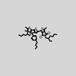 CCCCc1ccc([Si]2(CC(CC)CCCC)c3cc(C)sc3-c3sc(-c4sc(C)c5c4C(=O)N(CC(CC)CCCC)C5=O)cc32)cc1